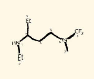 CCNC(CC)CCN(C)C(F)(F)F